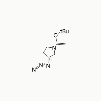 C=C(OC(C)(C)C)N1CC[C@@H](N=[N+]=[N-])C1